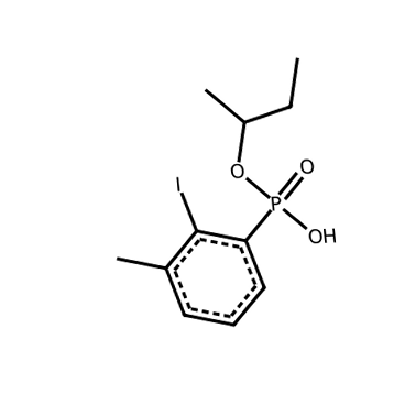 CCC(C)OP(=O)(O)c1cccc(C)c1I